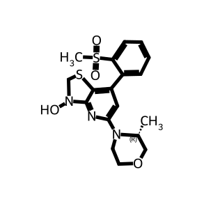 C[C@@H]1COCCN1c1cc(-c2ccccc2S(C)(=O)=O)c2c(n1)N(O)CS2